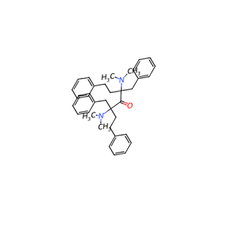 CN(C)C(CCc1ccccc1)(Cc1ccccc1)C(=O)C(CCc1ccccc1)(Cc1ccccc1)N(C)C